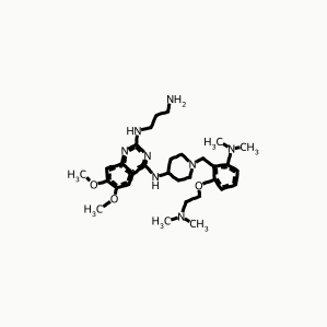 COc1cc2nc(NCCCN)nc(NC3CCN(Cc4c(OCCN(C)C)cccc4N(C)C)CC3)c2cc1OC